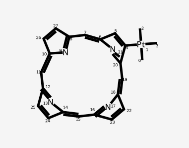 [CH3][Pt]([CH3])([CH3])[C]1=CC2=CC3=NC(=CC4=NC(=CC5=NC(=CC1=N2)C=C5)C=C4)C=C3